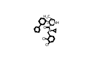 C[C@@H]1CNC[C@H](C(=O)N(Cc2cccc(Cl)c2Cl)C2CC2)[C@H]1c1cccc(-c2ccccc2)c1